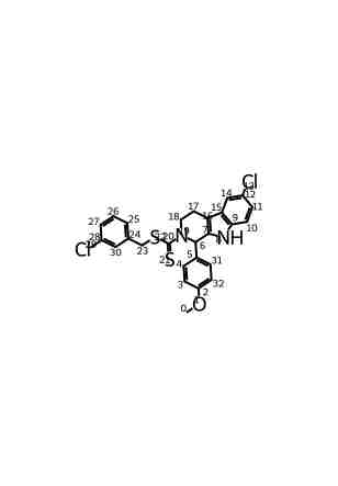 COc1ccc(C2c3[nH]c4ccc(Cl)cc4c3CCN2C(=S)SCc2cccc(Cl)c2)cc1